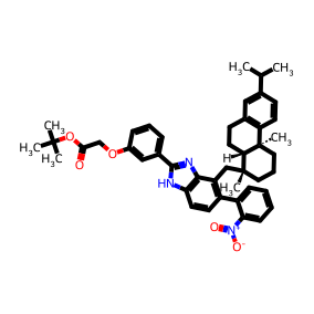 CC(C)c1ccc2c(c1)CC[C@H]1[C@@](C)(Cc3c(-c4ccccc4[N+](=O)[O-])ccc4[nH]c(-c5cccc(OCC(=O)OC(C)(C)C)c5)nc34)CCC[C@]21C